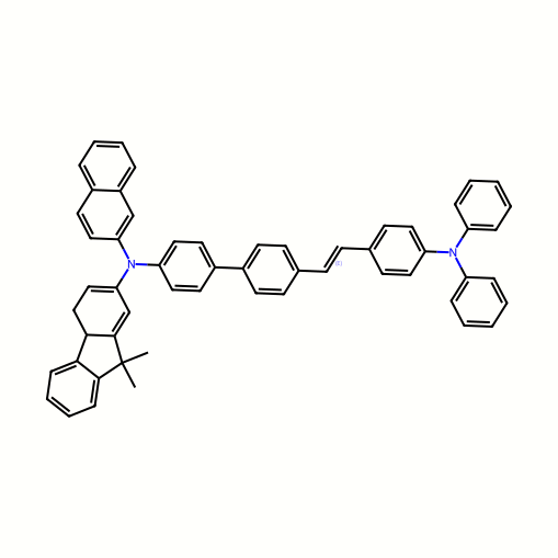 CC1(C)C2=CC(N(c3ccc(-c4ccc(/C=C/c5ccc(N(c6ccccc6)c6ccccc6)cc5)cc4)cc3)c3ccc4ccccc4c3)=CCC2c2ccccc21